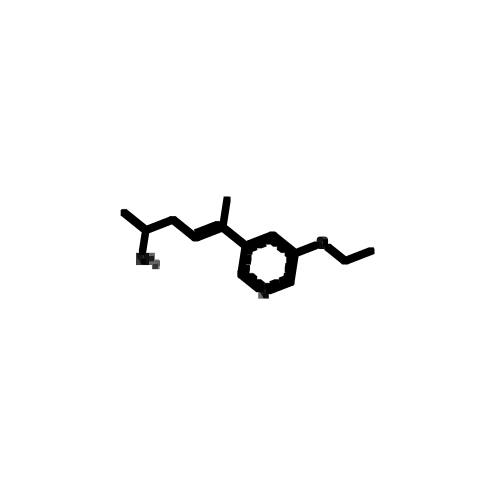 CCOc1cncc(C(C)=CCC(C)N)c1